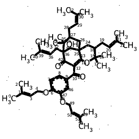 CC(C)=CCOc1ccc(C(=O)C2=C3OC(C)(C)C(CC=C(C)C)CC34CC(CC=C(C)C)C(C)(C)C(CC=C(C)C)(C2=O)C4O)cc1OCC=C(C)C